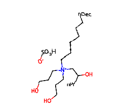 CCCCCCCCCCCCCCCC[N+](CCCO)(CCCO)CC(O)CCC.O=S(=O)([O-])O